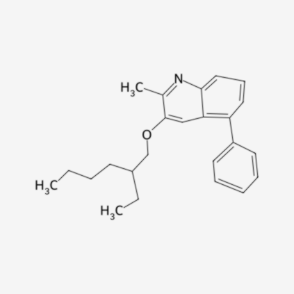 CCCCC(CC)COc1cc2c(-c3ccccc3)cccc2nc1C